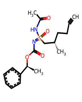 C#CCC[C@H](C)CS(=O)(=NC(=O)O[C@@H](C)c1ccccc1)NC(C)=O